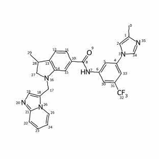 Cc1cn(-c2cc(NC(=O)c3ccc4c(c3)N(Cc3cnc5ccccn35)CC4C)cc(C(F)(F)F)c2)cn1